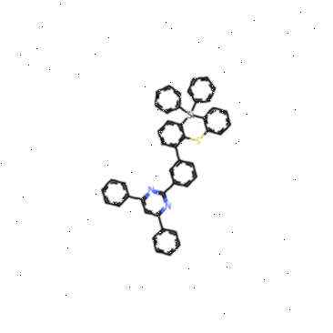 c1ccc(-c2cc(-c3ccccc3)nc(-c3cccc(-c4cccc5c4Sc4ccccc4[Si]5(c4ccccc4)c4ccccc4)c3)n2)cc1